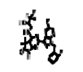 CC1(C)C(=O)Nc2nc(-c3nn(Cc4ccccc4F)c4ncc(F)cc34)nc(NCC(O)C(F)(F)F)c21